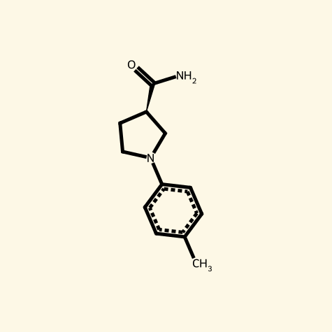 Cc1ccc(N2CC[C@@H](C(N)=O)C2)cc1